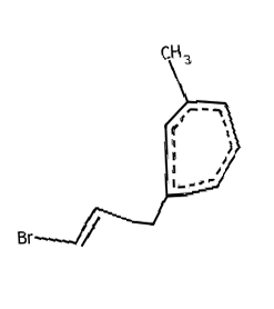 Cc1cccc(CC=CBr)c1